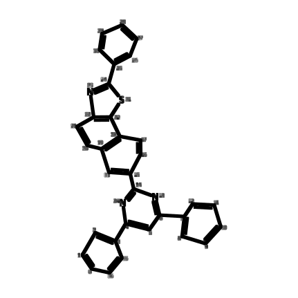 c1ccc(-c2cc(-c3ccccc3)nc(-c3ccc4c(ccc5nc(-c6ccccc6)sc54)c3)n2)cc1